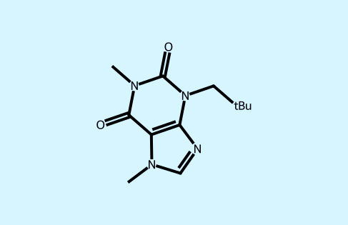 Cn1c(=O)c2c(ncn2C)n(CC(C)(C)C)c1=O